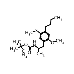 CCCCc1cc(OC)c(CC(C)NC(=O)OC(C)(C)C)cc1SC